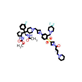 COC(=O)N[C@H]1CCC[C@@H]1[C@](CNC(C)=O)(c1cccc(F)c1)C1CCN(CC2CN(c3ccc(S(=O)(=O)C4CN(C(=O)/C=C/CN5CCCCC5)C4)c(CN4CCC(F)(F)CC4)c3)C2)CC1